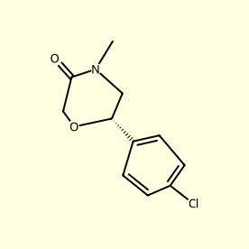 CN1C[C@H](c2ccc(Cl)cc2)OCC1=O